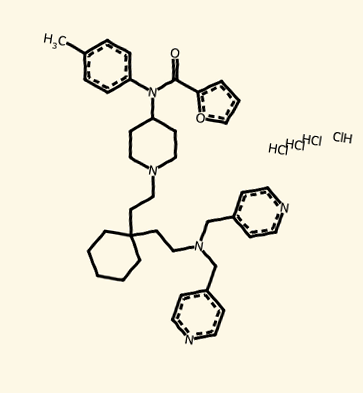 Cc1ccc(N(C(=O)c2ccco2)C2CCN(CCC3(CCN(Cc4ccncc4)Cc4ccncc4)CCCCC3)CC2)cc1.Cl.Cl.Cl.Cl